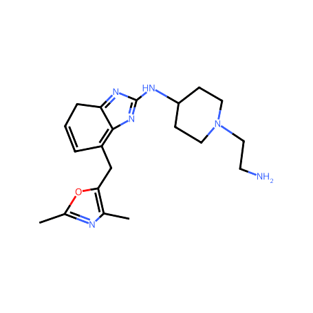 Cc1nc(C)c(CC2=C3N=C(NC4CCN(CCN)CC4)N=C3CC=C2)o1